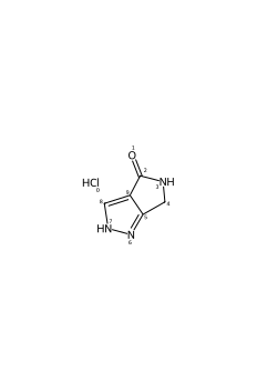 Cl.O=C1NCc2n[nH]cc21